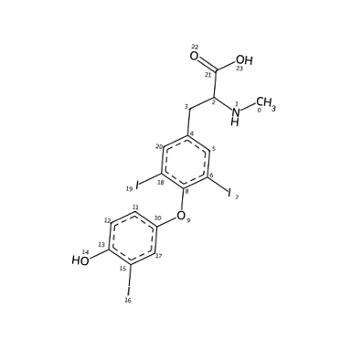 CNC(Cc1cc(I)c(Oc2ccc(O)c(I)c2)c(I)c1)C(=O)O